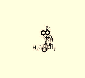 C[C@@H]1CCC[C@H](C)N1C[C@@H](O)CNS(=O)(=O)c1ccc(Br)c2ccccc12